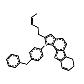 C/C=C\CCc1cc2ccc3c4c(sc3c2n1-c1ccc(Cc2ccccc2)cc1)C=CCC4